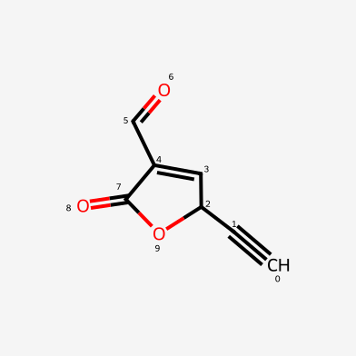 C#CC1C=C(C=O)C(=O)O1